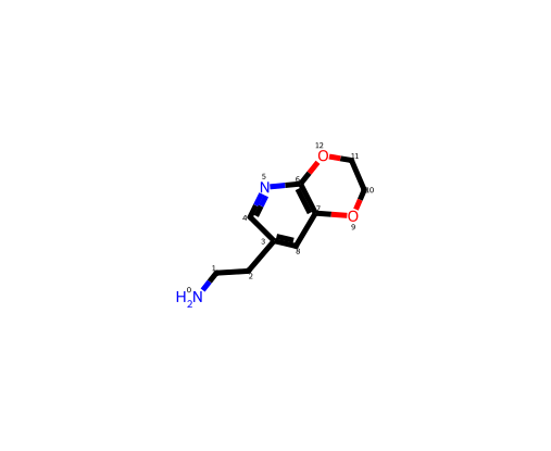 NCCc1cnc2c(c1)OCCO2